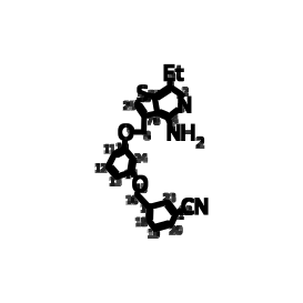 CCc1cnc(N)c2c(COc3cccc(OCc4cccc(C#N)c4)c3)csc12